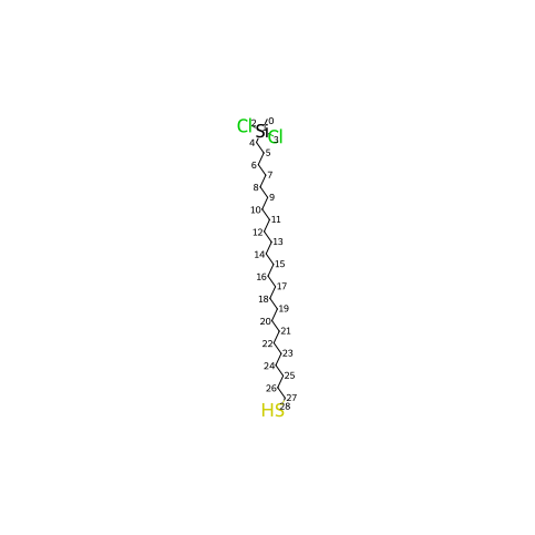 C[Si](Cl)(Cl)CCCCCCCCCCCCCCCCCCCCCCCCS